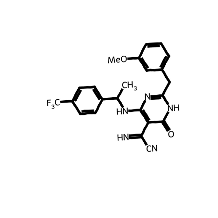 COc1cccc(Cc2nc(NC(C)c3ccc(C(F)(F)F)cc3)c(C(=N)C#N)c(=O)[nH]2)c1